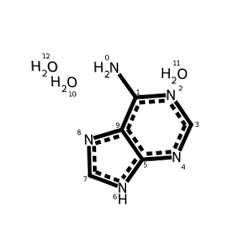 Nc1ncnc2[nH]cnc12.O.O.O